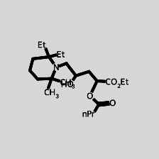 CCCC(=O)OC(CC(O)CN1C(C)(C)CCCC1(CC)CC)C(=O)OCC